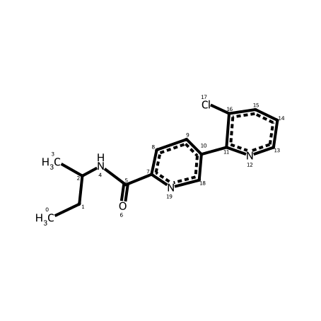 CCC(C)NC(=O)c1ccc(-c2ncccc2Cl)cn1